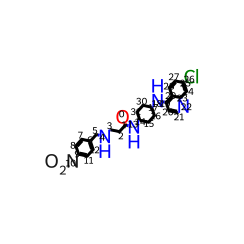 O=C(CCNCc1ccc([N+](=O)[O-])cc1)NC1CCC(Nc2ccnc3cc(Cl)ccc23)CC1